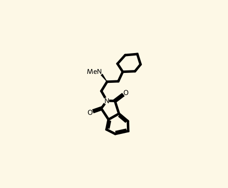 CN[C@@H](CC1CCCCC1)CN1C(=O)c2ccccc2C1=O